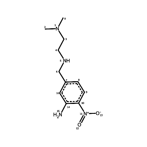 CN(C)CCNCc1ccc([N+](=O)[O-])c(N)c1